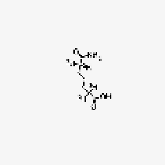 [2H]C([2H])(CCCC([2H])([2H])C(=O)O)C(N)=O